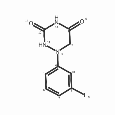 O=C1CN(c2cccc(I)c2)NC(=O)N1